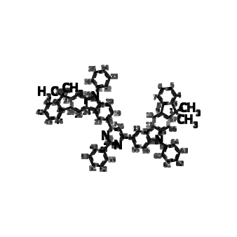 CC1(C)c2ccccc2-c2cc3c4cc(-c5cc(-c6ccc7c(c6)c6cc8c(cc6n7-c6ccccc6)C(C)(C)c6ccccc6-8)nc(-c6ccccc6)n5)ccc4n(-c4ccccc4)c3cc21